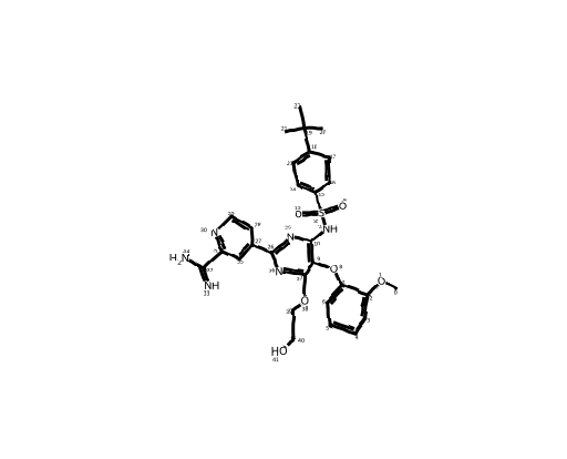 COc1ccccc1Oc1c(NS(=O)(=O)c2ccc(C(C)(C)C)cc2)nc(-c2ccnc(C(=N)N)c2)nc1OCCO